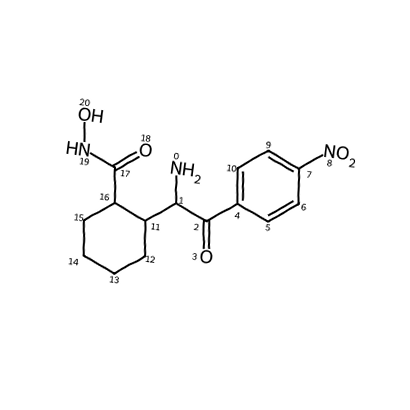 NC(C(=O)c1ccc([N+](=O)[O-])cc1)C1CCCCC1C(=O)NO